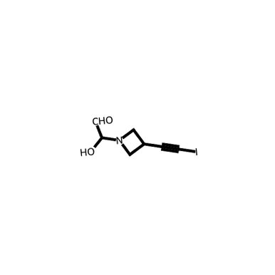 O=CC(O)N1CC(C#CI)C1